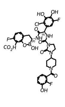 O=C(O)c1c(F)ccc2c1OB(O)[C@@H](NC(=O)[C@H](NC(=O)N1CCN(C3CCN(C(=O)c4cccc(O)c4F)CC3)C1=O)c1cc(F)c(O)c(O)c1Cl)C2